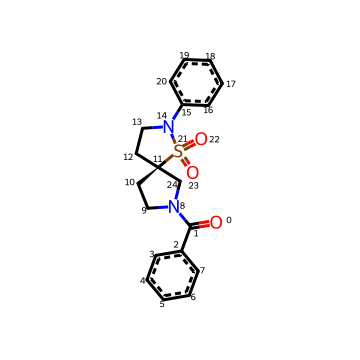 O=C(c1ccccc1)N1CC[C@]2(CCN(c3ccccc3)S2(=O)=O)C1